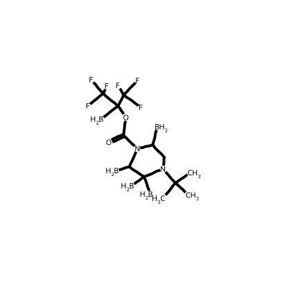 BC1CN(C(C)(C)C)C(B)(B)C(B)N1C(=O)OC(B)(C(F)(F)F)C(F)(F)F